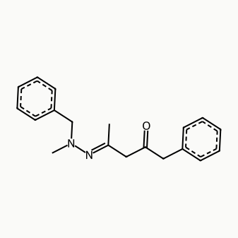 C/C(CC(=O)Cc1ccccc1)=N\N(C)Cc1ccccc1